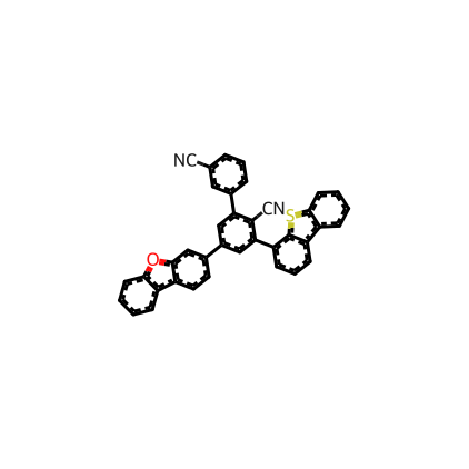 N#Cc1cccc(-c2cc(-c3ccc4c(c3)oc3ccccc34)cc(-c3cccc4c3sc3ccccc34)c2C#N)c1